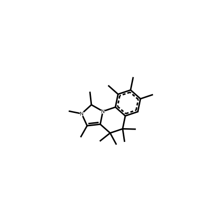 CC1=C2N(c3c(cc(C)c(C)c3C)C(C)(C)C2(C)C)C(C)N1C